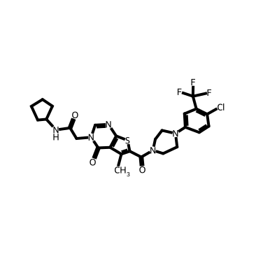 Cc1c(C(=O)N2CCN(c3ccc(Cl)c(C(F)(F)F)c3)CC2)sc2ncn(CC(=O)NC3CCCC3)c(=O)c12